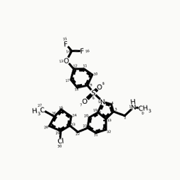 CNCc1cn(S(=O)(=O)c2ccc(OC(F)F)cc2)c2cc(Cc3ccc(C)cc3Cl)ccc12